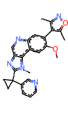 COc1cc2c(cc1-c1c(C)noc1C)ncc1nc(C3(c4cccnc4)CC3)n(C)c12